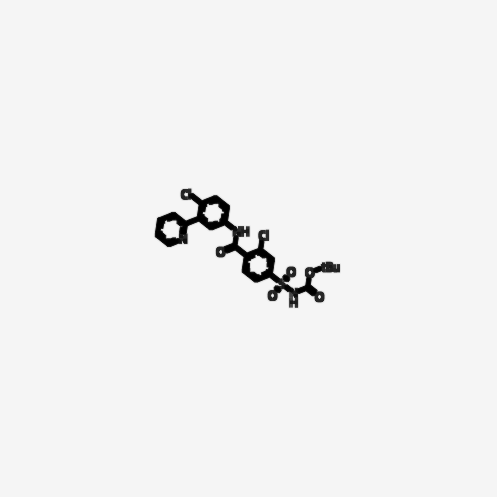 CC(C)(C)OC(=O)NS(=O)(=O)c1ccc(C(=O)Nc2ccc(Cl)c(-c3ccccn3)c2)c(Cl)c1